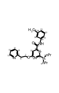 CCCN(CCC)c1nc(OCCc2ccccn2)cc(C(=O)Nc2cccc(C)c2)n1